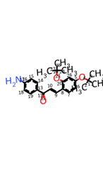 CC(C)(C)Oc1ccc(C=CC(=O)c2ccc(N)cc2)c(OC(C)(C)C)c1